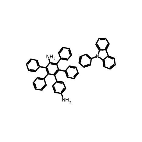 Nc1ccc(-c2c(-c3ccccc3)c(-c3ccccc3)c(N)c(-c3ccccc3)c2-c2ccccc2)cc1.c1ccc(-n2c3ccccc3c3ccccc32)cc1